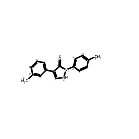 Cc1ccc(-n2[nH]cc(-c3cccc(C)c3)c2=O)cc1